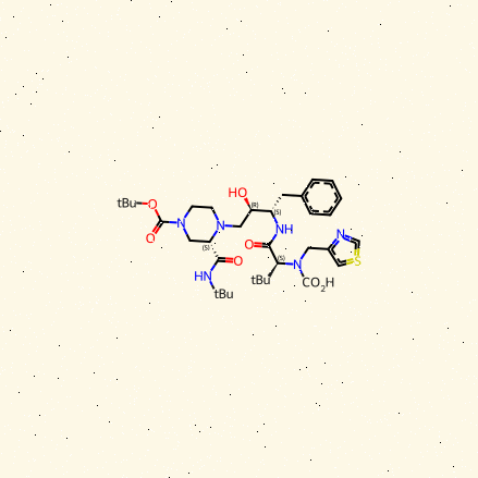 CC(C)(C)NC(=O)[C@@H]1CN(C(=O)OC(C)(C)C)CCN1C[C@@H](O)[C@H](Cc1ccccc1)NC(=O)[C@@H](N(Cc1cscn1)C(=O)O)C(C)(C)C